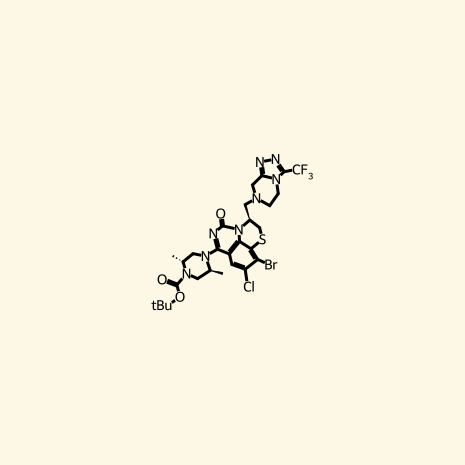 C[C@@H]1CN(c2nc(=O)n3c4c(c(Br)c(Cl)cc24)SC[C@@H]3CN2CCn3c(nnc3C(F)(F)F)C2)[C@@H](C)CN1C(=O)OC(C)(C)C